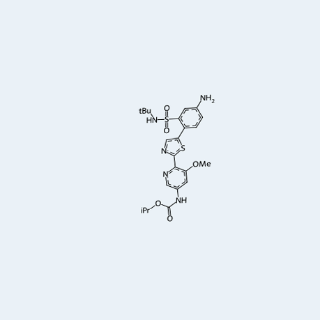 COc1cc(NC(=O)OC(C)C)cnc1-c1ncc(-c2ccc(N)cc2S(=O)(=O)NC(C)(C)C)s1